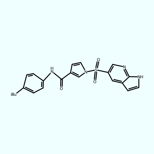 CCC(C)c1ccc(NC(=O)c2ccn(S(=O)(=O)c3cnc4[nH]ccc4c3)c2)cc1